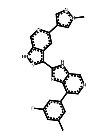 Cc1cc(F)cc(-c2cncc3[nH]c(-c4n[nH]c5cnc(-c6cnn(C)c6)cc45)nc23)c1